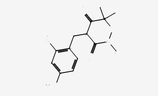 CSc1ccc(CC2C(=O)N(C)OC(C)(C)C2=O)c([N+](=O)[O-])c1